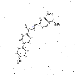 CCCOc1ccc(/C=C/C(=O)c2ccc(N3CCC(O)CC3)cc2)cc1OC